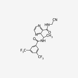 CC(NC(=O)c1cc(C(F)(F)F)cc(C(F)(F)F)c1)c1nccnc1C(=O)NCC#N